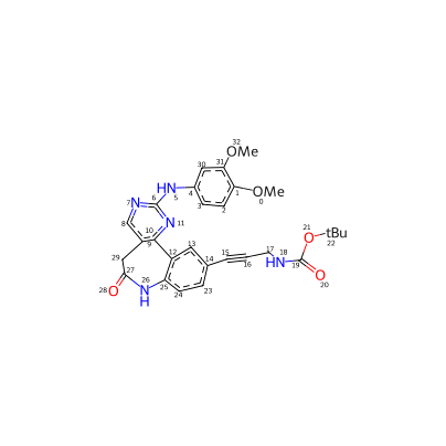 COc1ccc(Nc2ncc3c(n2)-c2cc(C#CCNC(=O)OC(C)(C)C)ccc2NC(=O)C3)cc1OC